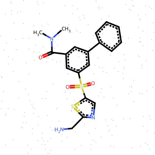 CN(C)C(=O)c1cc(-c2ccccc2)cc(S(=O)(=O)c2cnc(CN)s2)c1